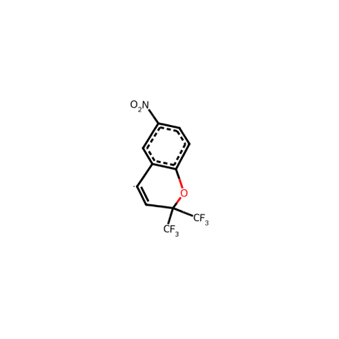 O=[N+]([O-])c1ccc2c(c1)[C]=CC(C(F)(F)F)(C(F)(F)F)O2